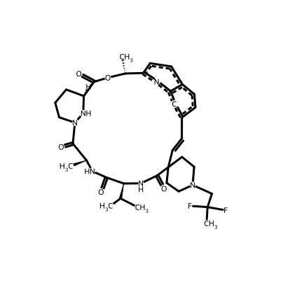 CC(C)[C@@H]1NC(=O)C2(/C=C/c3ccc4ccc(nc4c3)[C@@H](C)OC(=O)[C@@H]3CCCN(N3)C(=O)[C@H](C)NC1=O)CCN(CC(C)(F)F)CC2